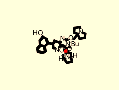 CC(C)(C)OC(=O)N1[C@@H]2CC[C@H]1CN(c1nc(OCC34CCCN3CCC4)nc3cc(-c4cc(O)cc5ccccc45)cnc13)C2